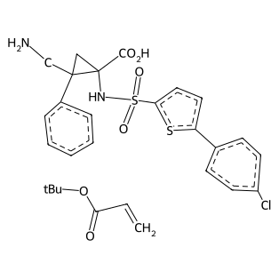 C=CC(=O)OC(C)(C)C.NCC1(c2ccccc2)CC1(NS(=O)(=O)c1ccc(-c2ccc(Cl)cc2)s1)C(=O)O